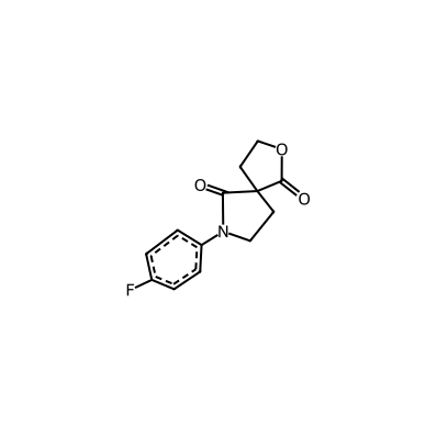 O=C1OCCC12CCN(c1ccc(F)cc1)C2=O